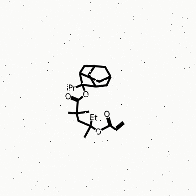 C=CC(=O)OC(C)(CC)CC(C)(C)C(=O)OC1(C(C)C)C2CC3CC(C2)CC1C3